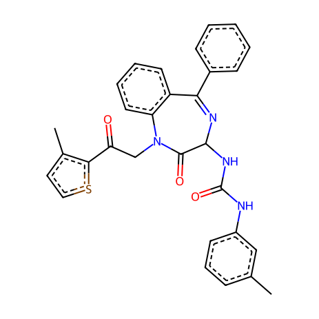 Cc1cccc(NC(=O)NC2N=C(c3ccccc3)c3ccccc3N(CC(=O)c3sccc3C)C2=O)c1